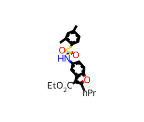 CCCc1oc2ccc(NS(=O)(=O)c3ccc(C)cc3C)cc2c1C(=O)OCC